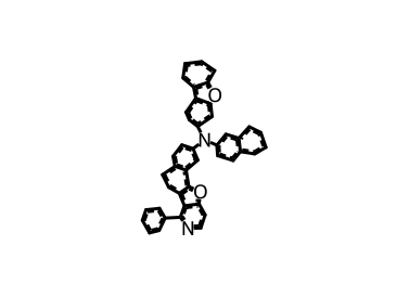 c1ccc(-c2nccc3oc4c5cc(N(c6ccc7ccccc7c6)c6ccc7c(c6)oc6ccccc67)ccc5ccc4c23)cc1